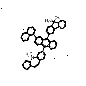 CN1c2ccccc2C=Cc2ccc(-c3c4ccccc4c(-c4ccc5c(c4)-c4ccccc4C5(C)C)c4cc(-c5cccc6ccccc56)ccc34)cc21